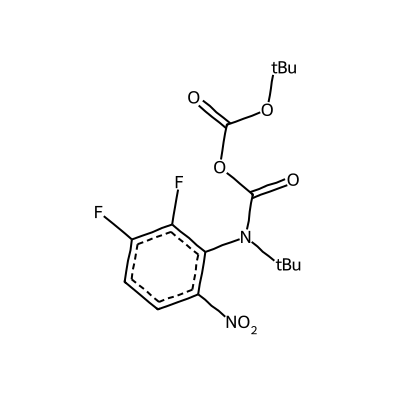 CC(C)(C)OC(=O)OC(=O)N(c1c([N+](=O)[O-])ccc(F)c1F)C(C)(C)C